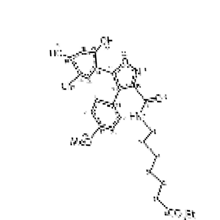 CCOC(=O)CCCCCCNC(=O)c1noc(-c2cc(Cl)c(O)cc2O)c1-c1ccc(OC)cc1